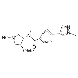 CO[C@H]1CN(C#N)C[C@@H]1N(C)C(=O)c1ccc(-c2cnn(C)c2)cc1